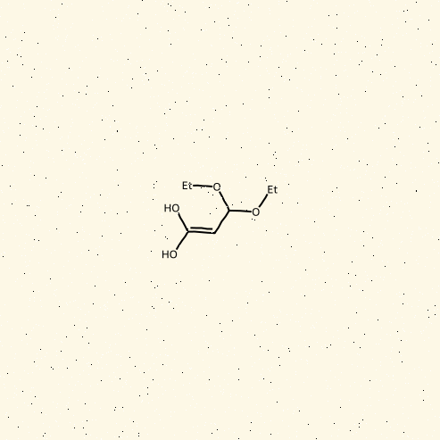 CCOC(C=C(O)O)OCC